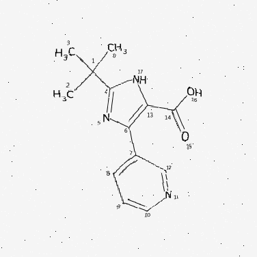 CC(C)(C)c1nc(-c2cccnc2)c(C(=O)O)[nH]1